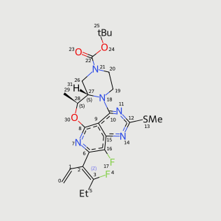 C=C/C(=C(/F)CC)c1nc2c3c(nc(SC)nc3c1F)N1CCN(C(=O)OC(C)(C)C)C[C@H]1[C@H](C)O2